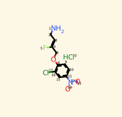 Cl.NCC=C(F)COc1ccc([N+](=O)[O-])cc1Cl